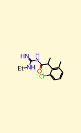 CCNC(=N)NC(=O)C(C)c1c(C)cccc1Cl